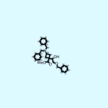 COC(=O)C1(C(O)COCc2ccccc2)CC(N(Cc2ccccc2)Cc2ccccc2)C1